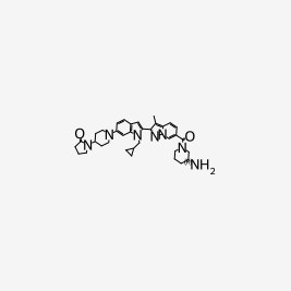 Cc1c(-c2cc3ccc(N4CCC(N5CCCC5=O)CC4)cc3n2CC2CC2)nn2cc(C(=O)N3CCC[C@@H](N)C3)ccc12